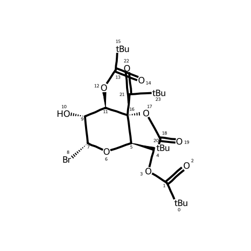 CC(C)(C)C(=O)OC[C@H]1O[C@H](Br)[C@H](O)[C@@H](OC(=O)C(C)(C)C)[C@@]1(OC(=O)C(C)(C)C)C(=O)C(C)(C)C